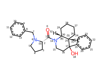 O=C([C@@H]1CCCN1Cc1ccccc1)N1CCC(O)(c2ccccc2)[C@H]2CCCC[C@H]21